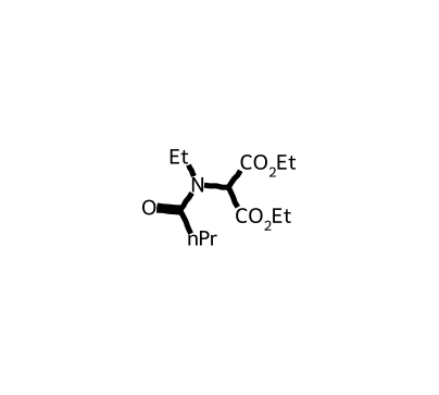 CCCC(=O)N(CC)C(C(=O)OCC)C(=O)OCC